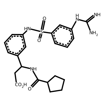 N=C(N)Nc1cccc(S(=O)(=O)Nc2cccc(C(CC(=O)O)NC(=O)C3CCCC3)c2)c1